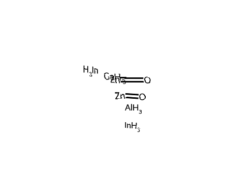 [AlH3].[GaH3].[InH3].[InH3].[O]=[Zn].[O]=[Zn]